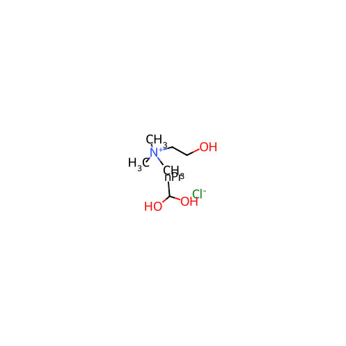 CCCC(O)O.C[N+](C)(C)CCO.[Cl-]